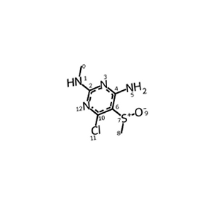 CNc1nc(N)c([S+](C)[O-])c(Cl)n1